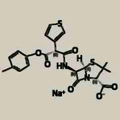 Cc1ccc(OC(=O)[C@@H](C(=O)N[C@@H]2C(=O)N3[C@@H]2SC(C)(C)[C@@H]3C(=O)[O-])c2ccsc2)cc1.[Na+]